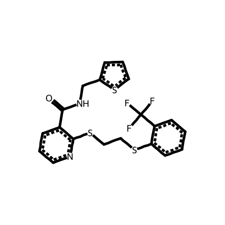 O=C(NCc1cccs1)c1cccnc1SCCSc1ccccc1C(F)(F)F